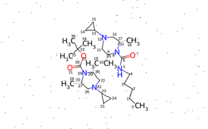 CCCCCNC(=O)N1[C@H](C)CN(C2CC2)C[C@@H]1C.C[C@@H]1CN(C2CC2)C[C@H](C)N1C(=O)OC(C)(C)C